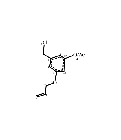 C=CCOc1cc(CCl)cc(OC)c1